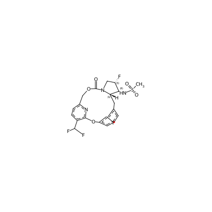 CS(=O)(=O)N[C@H]1[C@@H](F)CN2C(=O)OCc3ccc(C(F)F)c(n3)Oc3cccc(c3F)C[C@@H]12